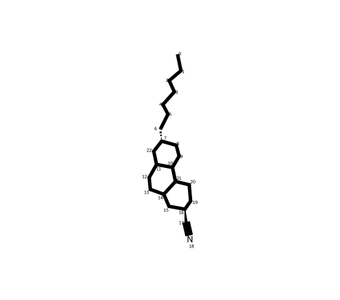 CCCCCCC[C@@H]1CCC2C(CCC3C[C@H](C#N)CCC32)C1